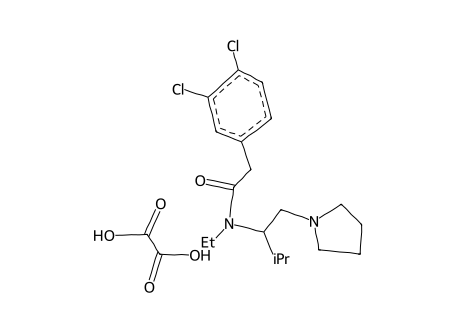 CCN(C(=O)Cc1ccc(Cl)c(Cl)c1)C(CN1CCCC1)C(C)C.O=C(O)C(=O)O